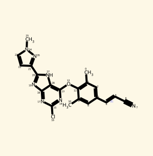 Cc1cc(/C=C/C#N)cc(C)c1Oc1nc(Cl)nc2nc(-c3ccn(C)n3)[nH]c12